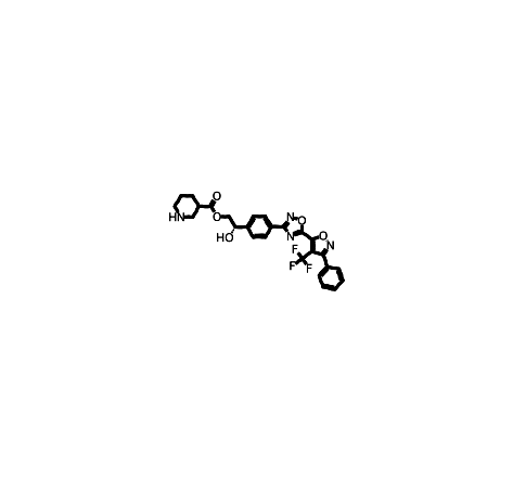 O=C(OC[C@@H](O)c1ccc(-c2noc(-c3onc(-c4ccccc4)c3C(F)(F)F)n2)cc1)C1CCCNC1